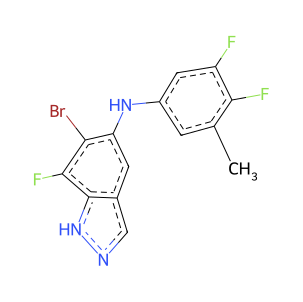 Cc1cc(Nc2cc3cn[nH]c3c(F)c2Br)cc(F)c1F